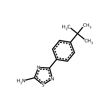 CC(C)(C)c1ccc(-c2nsc(N)n2)cc1